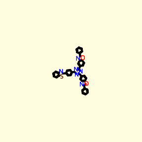 c1ccc(-c2nc3cc(-c4nc(-c5ccc(-c6nc7ccccc7s6)cc5)nc(-c5ccc6oc(-c7ccccc7)nc6c5)n4)ccc3o2)cc1